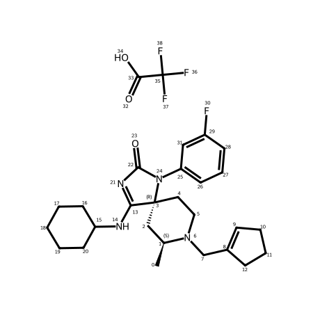 C[C@H]1C[C@]2(CCN1CC1=CCCC1)C(NC1CCCCC1)=NC(=O)N2c1cccc(F)c1.O=C(O)C(F)(F)F